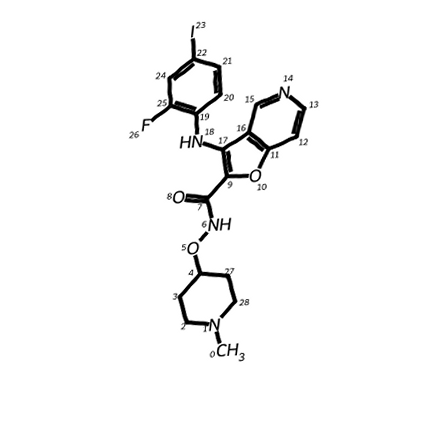 CN1CCC(ONC(=O)c2oc3ccncc3c2Nc2ccc(I)cc2F)CC1